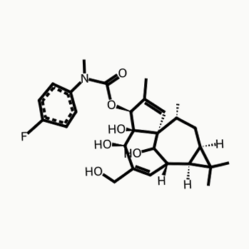 CC1=C[C@]23C(O)[C@@H](C=C(CO)[C@@H](O)[C@]2(O)[C@H]1OC(=O)N(C)c1ccc(F)cc1)[C@H]1[C@@H](C[C@H]3C)C1(C)C